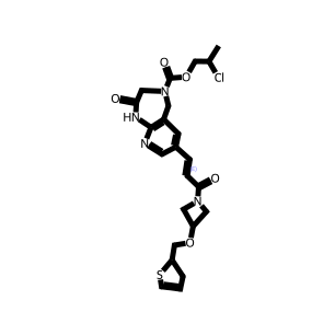 CC(Cl)COC(=O)N1CC(=O)Nc2ncc(/C=C/C(=O)N3CC(OCC4CC=CS4)C3)cc2C1